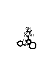 CC(NC(=O)c1cc2c(n(CC3CCCCC3)c1=O)CCCCCC2)C(=O)O